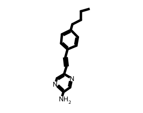 CCCCc1ccc(C#Cc2cnc(N)cn2)cc1